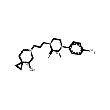 C[C@H]1C(=O)N(CCCN2CCC3(CC3)[C@H](O)C2)CCN1c1ccc(C(F)(F)F)cc1